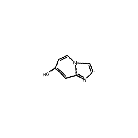 Oc1ccn2c[c]nc2c1